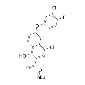 CCCCOC(=O)c1nc(Cl)c2cc(Oc3ccc(F)c(Cl)c3)ccc2c1O